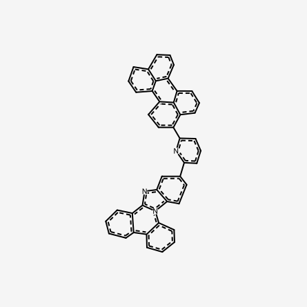 c1cc(-c2ccc3c(c2)nc2c4ccccc4c4ccccc4n32)nc(-c2ccc3c4cccc5cccc(c6cccc2c63)c54)c1